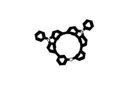 c1ccc(-n2c3ccc4cc3c3cc(ccc32)c2ccc3c(c2)c2cc(ccc2n3-c2ccccc2)c2cccc(c2)oc2cccc4c2)cc1